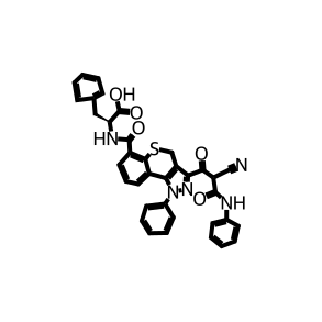 N#CC(C(=O)Nc1ccccc1)C(=O)c1nn(-c2ccccc2)c2c1CSc1c(C(=O)N[C@@H](Cc3ccccc3)C(=O)O)cccc1-2